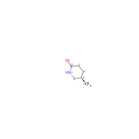 O=C1CC[C@@H](C(F)(F)F)CN1